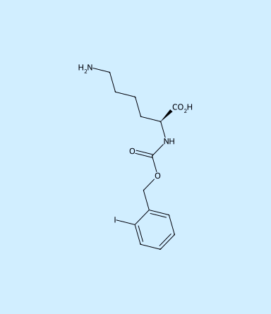 NCCCC[C@H](NC(=O)OCc1ccccc1I)C(=O)O